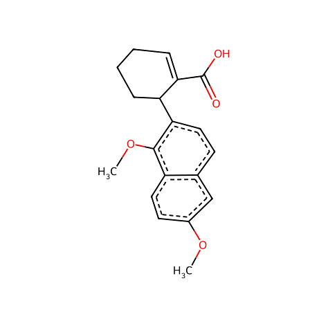 COc1ccc2c(OC)c(C3CCCC=C3C(=O)O)ccc2c1